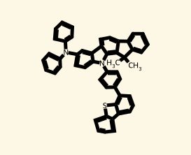 CC1(C)c2ccccc2-c2ccc3c4cc(N(c5ccccc5)c5ccccc5)ccc4n(-c4ccc(-c5cccc6c5sc5ccccc56)cc4)c3c21